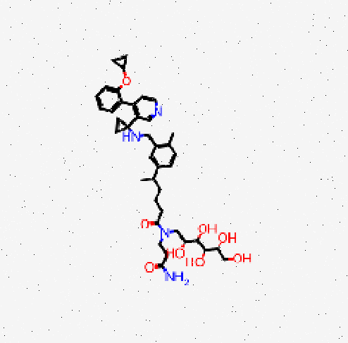 Cc1ccc(C(C)CCCC(=O)N(CCC(N)=O)C[C@H](O)[C@@H](O)[C@H](O)[C@H](O)CO)cc1CNC1(c2cnccc2-c2ccccc2OC2CC2)CC1